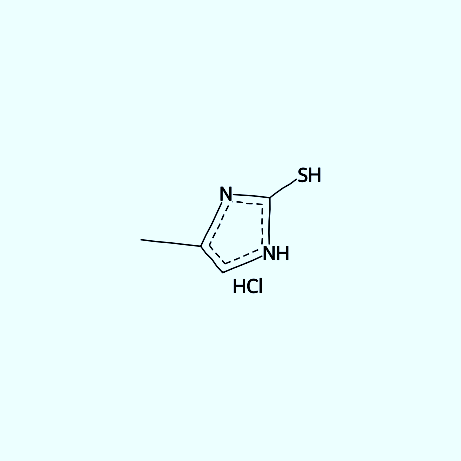 Cc1c[nH]c(S)n1.Cl